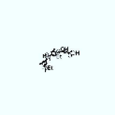 CCc1cc(-c2nc(-c3cc(C)nc(N(CC)CC)c3)no2)cc(C)c1OCC(O)CNC(=O)CO